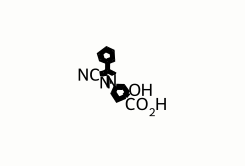 N#CC1=NN(c2ccc(C(=O)O)c(O)c2)CC1c1ccccc1